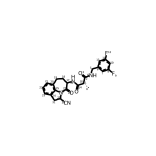 C[C@@H](C(=O)NCc1cc(F)cc(F)c1)C(=O)NC1CCc2cccc3c2N(C1=O)C(C#N)C3